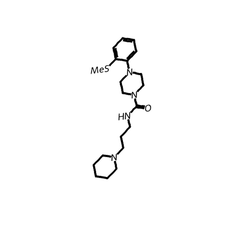 CSc1ccccc1N1CCN(C(=O)NCCCN2CCCCC2)CC1